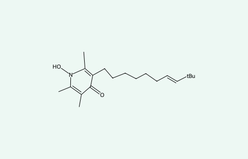 Cc1c(C)n(O)c(C)c(CCCCCC/C=C/C(C)(C)C)c1=O